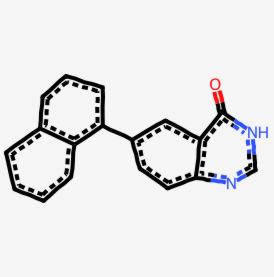 O=c1[nH]cnc2ccc(-c3cccc4ccccc34)cc12